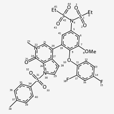 CCS(=O)(=O)N(c1cc(OC)c(Oc2ccc(F)cc2F)c(-c2cn(C)c(=O)c3c2ccn3S(=O)(=O)c2ccc(C)cc2)c1)S(=O)(=O)CC